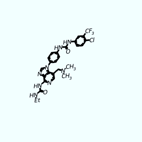 CCNC(=O)Nc1ncc(CN(C)C)c2c1ncn2-c1ccc(NC(=O)Nc2ccc(Cl)c(C(F)(F)F)c2)cc1